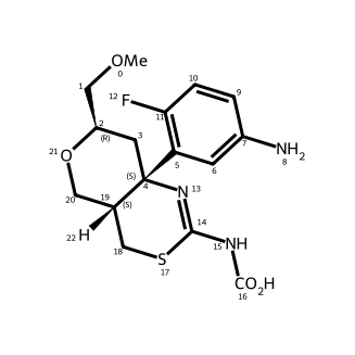 COC[C@H]1C[C@]2(c3cc(N)ccc3F)N=C(NC(=O)O)SC[C@@H]2CO1